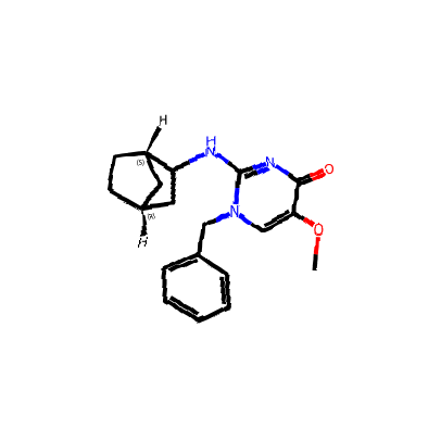 COc1cn(Cc2ccccc2)c(NC2C[C@@H]3CC[C@H]2C3)nc1=O